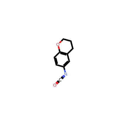 O=C=Nc1ccc2c(c1)CCCO2